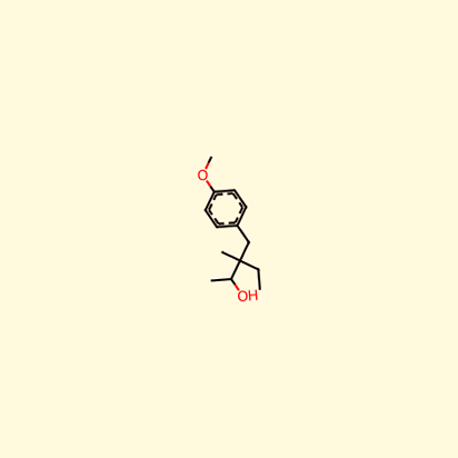 CCC(C)(Cc1ccc(OC)cc1)C(C)O